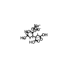 O=C(O)CC(C(=O)O)C(CC(=O)O)C(=O)O.O=P[O-].[Na+]